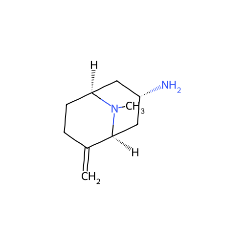 C=C1CC[C@H]2C[C@H](N)C[C@@H]1N2C